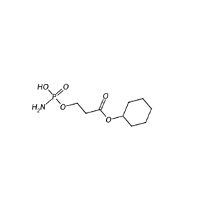 NP(=O)(O)OCCC(=O)OC1CCCCC1